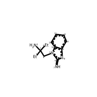 CCC(N)(CC)Cn1c(=N)sc2ccccc21